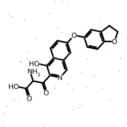 NC(C(=O)O)C(=O)c1ncc2cc(Oc3ccc4c(c3)CCO4)ccc2c1O